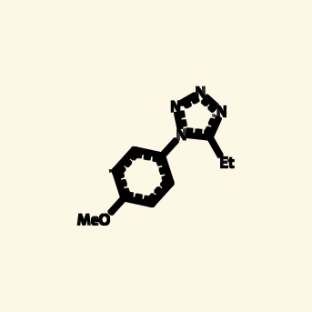 CCc1nnnn1-c1c[c]c(OC)cc1